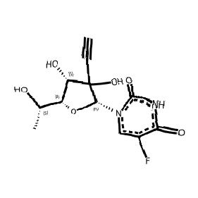 C#CC1(O)[C@@H](O)[C@@H]([C@H](C)O)O[C@H]1n1cc(F)c(=O)[nH]c1=O